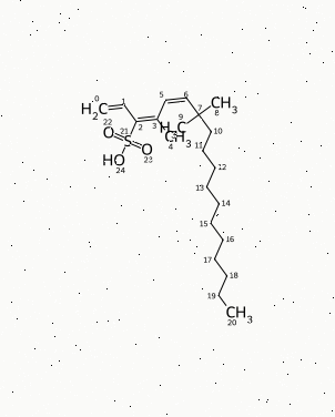 C=C/C(=C(C)\C=C/C(C)(C)CCCCCCCCCCC)S(=O)(=O)O